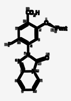 CCC[C@H](C)Oc1cc(-n2nc3ccccn3c2=O)c(F)cc1C(=O)O